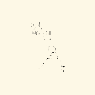 COCCCOc1cc(CC(CC(N)C(O)CC(C)C(=O)O)C(C)C)ccc1OCCCC(=O)O